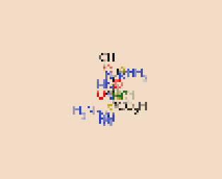 C#CCON=C(C(=O)NC1C(=O)N2CC(CSc3nnnn3CCN)(C(=O)O)CS[C@H]12)c1csc(N)n1.Cl.Cl